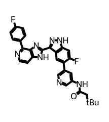 CC(C)(C)CC(=O)Nc1cncc(-c2cc3c(-c4nc5c(-c6ccc(F)cc6)nccc5[nH]4)n[nH]c3cc2F)c1